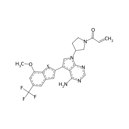 C=CC(=O)N1CCC(n2cc(-c3cc4cc(C(F)(F)F)cc(OC)c4s3)c3c(N)ncnc32)C1